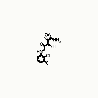 N=C(C(=O)CNc1cccc(Cl)c1Cl)c1nonc1N